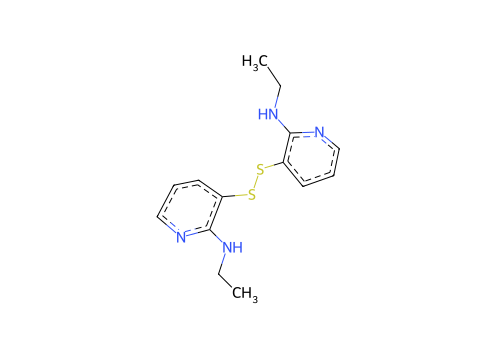 CCNc1ncccc1SSc1cccnc1NCC